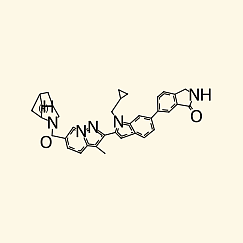 Cc1c(-c2cc3ccc(-c4ccc5c(c4)C(=O)NC5)cc3n2CC2CC2)nn2cc(C(=O)N3CC4CC5CC3[C@H]54)ccc12